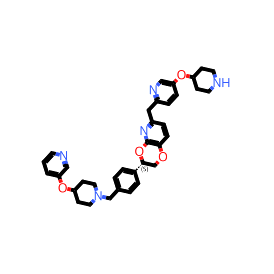 c1cncc(OC2CCN(Cc3ccc([C@H]4COc5ccc(Cc6ccc(OC7CCNCC7)cn6)nc5O4)cc3)CC2)c1